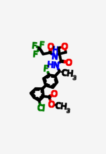 COC(=O)c1c(Cl)cccc1-c1ccc([C@@H](C)NC(=O)C2(NC(=O)CC(F)(F)F)COC2)c(F)c1